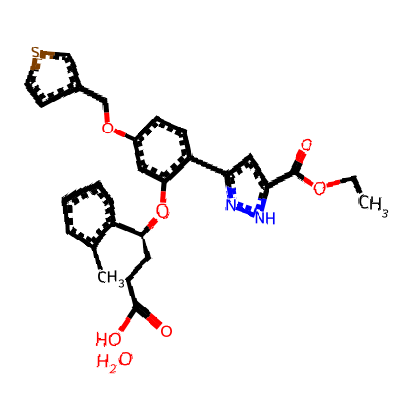 CCOC(=O)c1cc(-c2ccc(OCc3ccsc3)cc2O[C@@H](CCC(=O)O)c2ccccc2C)n[nH]1.O